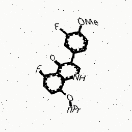 CCCOc1ccc(F)c2c(=O)c(-c3ccc(OC)c(F)c3)c[nH]c12